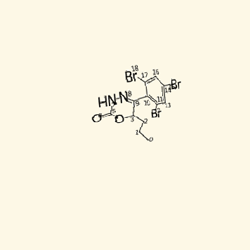 CCCC1OC(=O)NN=C1c1c(Br)cc(Br)cc1Br